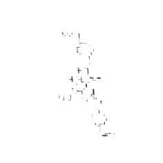 COc1ccc(CNC(=O)[C@](N)(CSCc2ccc(OC)cc2)C(=O)OC(C)(C)C)cc1